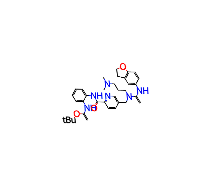 C=C(Nc1ccccc1NC(=O)c1ccc(CN(CCCN(C)C)C(=C)Nc2ccc3c(c2)CCO3)cn1)OC(C)(C)C